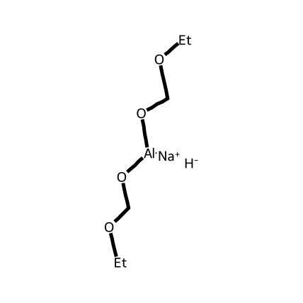 CCOC[O][Al][O]COCC.[H-].[Na+]